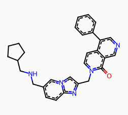 O=c1c2cncc(-c3ccccc3)c2ccn1Cc1cn2cc(CNCC3CCCC3)ccc2n1